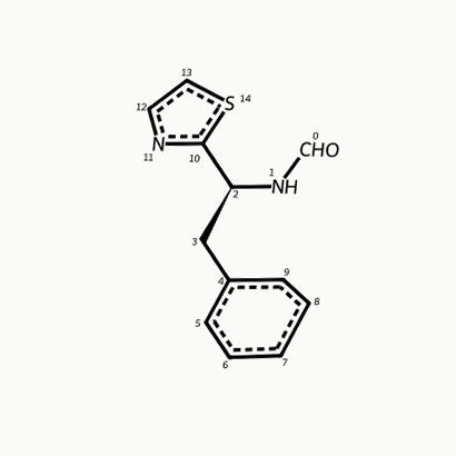 O=CN[C@@H](Cc1ccccc1)c1nccs1